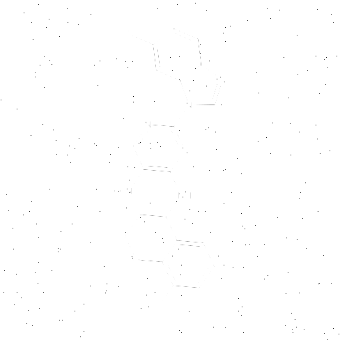 O=[N+]([O-])c1cnc(-n2cnc3ccc(F)cc32)nc1NC1CCOc2c(F)cccc21